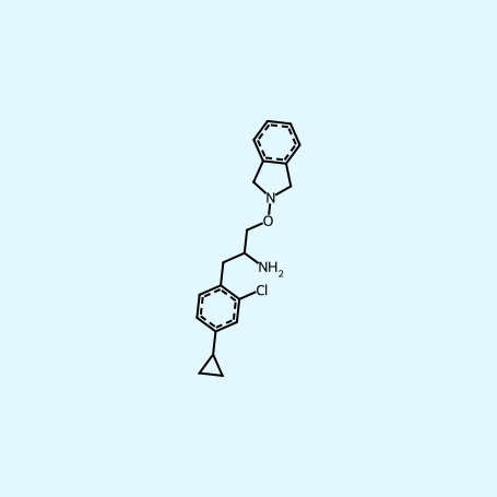 NC(CON1Cc2ccccc2C1)Cc1ccc(C2CC2)cc1Cl